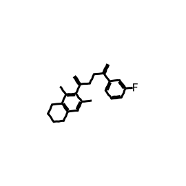 C=C(CCC(=C)c1c(C)cc2c(c1C)CCCC2)c1cccc(F)c1